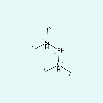 C[SiH](C)P[SiH](C)C